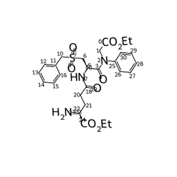 CCOC(=O)CN(C(=O)[C@H](CS(=O)(=O)Cc1ccccc1)NC(=O)CC[C@H](N)C(=O)OCC)c1ccccc1